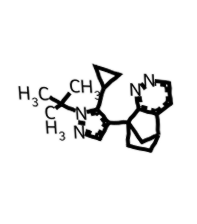 CC(C)(C)n1ncc(C23CCC(C2)c2ccnnc23)c1C1CC1